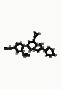 COc1ncc(-c2cc(C3CC3)c3nc(-c4ccncc4)cn3n2)c(OC)n1